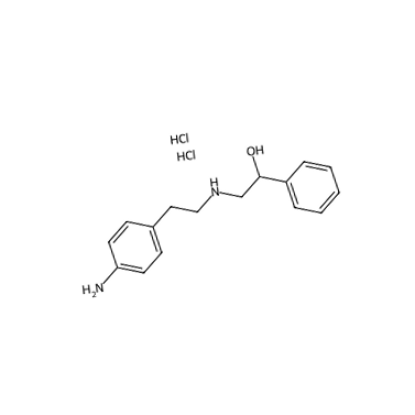 Cl.Cl.Nc1ccc(CCNCC(O)c2ccccc2)cc1